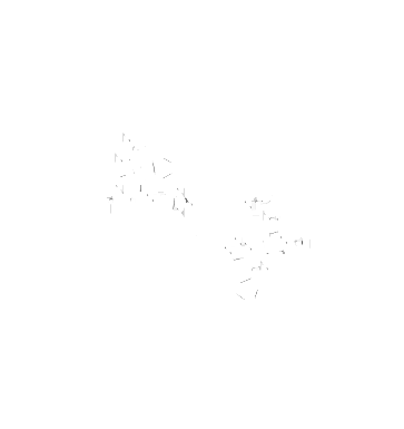 CN[C@@H](C)C(=O)N[C@H]1CCCC[C@H]2CC[C@@H](C(=O)N[C@@H](c3ccccc3)c3cn(CCOCCn4cc([C@@H](NC(=O)[C@@H]5CC[C@@H]6CCCC[C@H](NC(=O)[C@H](C)NC)C(=O)N65)c5ccccc5)nn4)nn3)N2C1=O